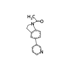 CC(=O)N1CCc2cc(-c3cccnc3)ccc21